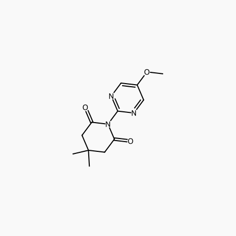 COc1cnc(N2C(=O)CC(C)(C)CC2=O)nc1